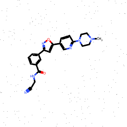 CN1CCN(c2ccc(-c3cc(-c4cccc(C(=O)NCC#N)c4)no3)cn2)CC1